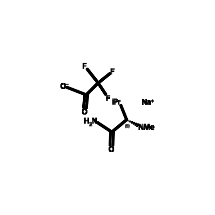 CN[C@H](C(N)=O)C(C)C.O=C([O-])C(F)(F)F.[Na+]